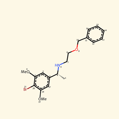 COc1cc([C@@H](C)NCCOCc2ccccc2)cc(OC)c1Br